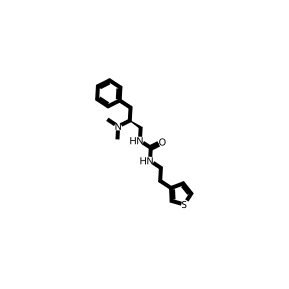 CN(C)[C@H](CNC(=O)NCCc1ccsc1)Cc1ccccc1